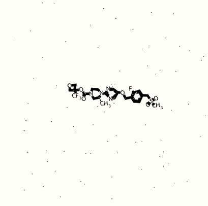 C[C@@H]1CN(C(=O)OC2(C(F)(F)F)COC2)CCN1c1ncc(OCc2ccc(CS(C)(=O)=O)cc2F)cn1